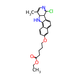 CCOC(=O)CCCCOc1ccc2c3c(ccc2c1)C1C(Cl)=NC=C(C)C1N3